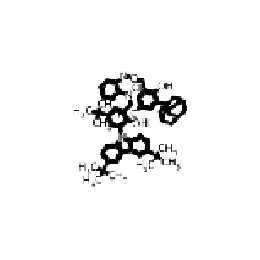 Cc1cc(C=C=Nc2ccccc2N(C)Cc2cc(C(C)(C)C)cc(-n3c4ccc(C(C)(C)C)cc4c4cc(C(C)(C)C)ccc43)c2O)c(O)c(C23CC4CC(CC(C4)C2)C3)c1